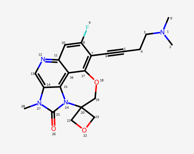 CN(C)CCC#Cc1c(F)cc2ncc3c4c2c1OCC1(COC1)n4c(=O)n3C